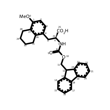 COc1ccc(C[C@H](NC(=O)OCC2c3ccccc3-c3ccccc32)C(=O)O)c2c1CCCC2